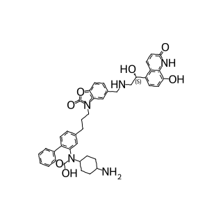 NC1CCC(N(C(=O)O)c2cc(CCCn3c(=O)oc4ccc(CNC[C@@H](O)c5ccc(O)c6[nH]c(=O)ccc56)cc43)ccc2-c2ccccc2)CC1